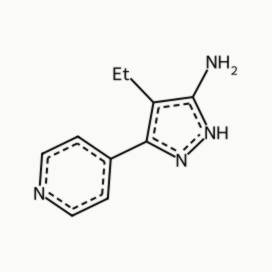 CCc1c(-c2ccncc2)n[nH]c1N